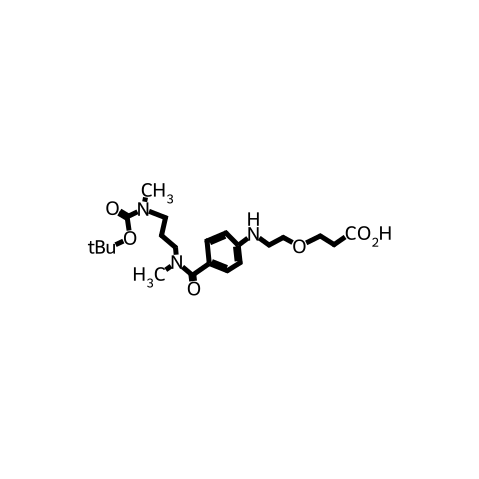 CN(CCCN(C)C(=O)c1ccc(NCCOCCC(=O)O)cc1)C(=O)OC(C)(C)C